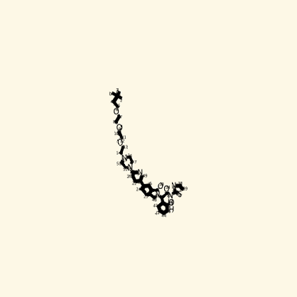 CC(C)(C)CCOCCOCCOCCN1CCN(c2ccc(-c3ccc4c(c3)C(=O)N(C(C(=O)Nc3nccs3)c3ccccc3O)C4)cn2)CC1